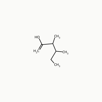 C=C(O)C(C)C(C)CC